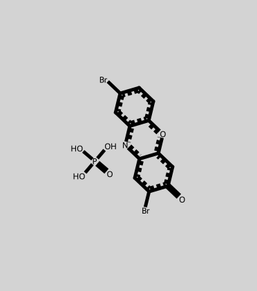 O=P(O)(O)O.O=c1cc2oc3ccc(Br)cc3nc-2cc1Br